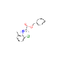 Cc1cccc(Cl)c1N[C@@H](C)C(=O)OCc1ccccc1